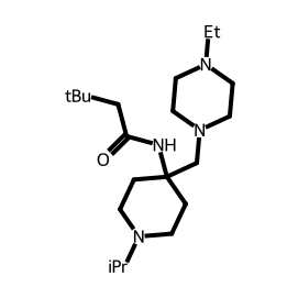 CCN1CCN(CC2(NC(=O)CC(C)(C)C)CCN(C(C)C)CC2)CC1